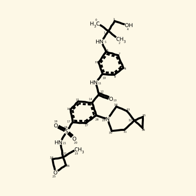 CC(C)(CO)Nc1cccc(NC(=O)c2ccc(S(=O)(=O)NC3(C)COC3)cc2N2CCC3(CC2)CC3)c1